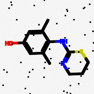 Cc1cc(O)cc(C)c1NC1=NCCCS1